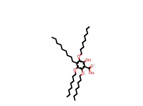 CCCCCCCCCOc1c(O)c(C(=O)O)c(OCCCCCCCC)c(OCCCCCCCC)c1CCCCCCCCC